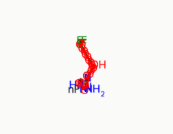 CCCN(CCCNC(=O)OC1CCC1)C(=O)C1=Cc2sc(CCC3CCN(C(=O)CCOCCOCCOC(CO)OCCOCCOCCOCCOCCOCCOCCC(=O)Oc4c(F)c(F)cc(F)c4F)CC3)cc2N=C(N)C1